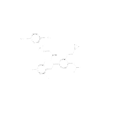 COc1ccc(OC)c(S(=O)(=O)NCC(=O)OC(Cc2c(Cl)c[n+]([O-])cc2Cl)c2ccc(OC(F)F)c(OCC3CC3)c2)c1